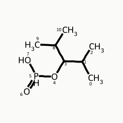 CC(C)C(O[PH](=O)O)C(C)C